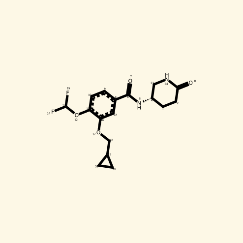 O=C1CC[C@H](NC(=O)c2ccc(OC(F)F)c(OCC3CC3)c2)CN1